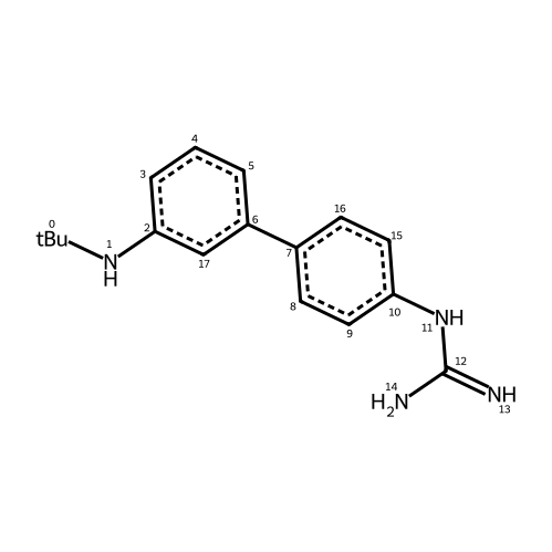 CC(C)(C)Nc1cccc(-c2ccc(NC(=N)N)cc2)c1